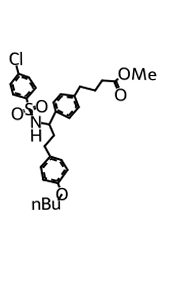 CCCCOc1ccc(CCC(NS(=O)(=O)c2ccc(Cl)cc2)c2ccc(CCCC(=O)OC)cc2)cc1